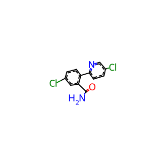 NC(=O)c1cc(Cl)ccc1-c1ccc(Cl)cn1